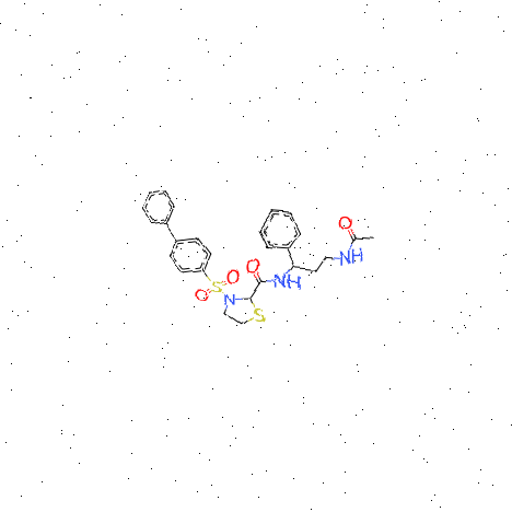 CC(=O)NCCC(NC(=O)C1SCCN1S(=O)(=O)c1ccc(-c2ccccc2)cc1)c1ccccc1